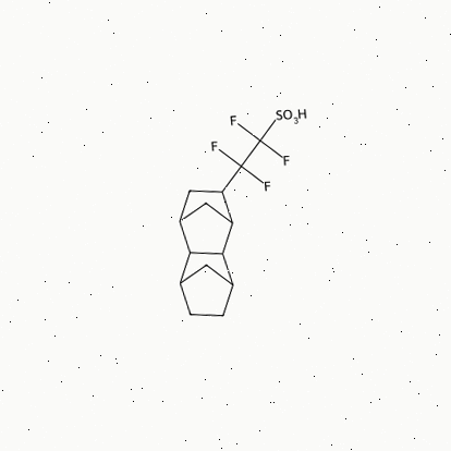 O=S(=O)(O)C(F)(F)C(F)(F)C1CC2CC1C1C3CCC(C3)C21